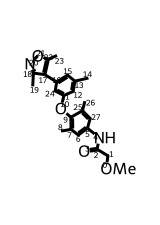 COCC(=O)Nc1cc(C)c(Oc2cc(C)cc(-c3c(C)noc3C)c2)c(C)c1